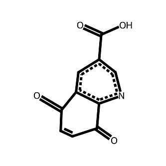 O=C(O)c1cnc2c(c1)C(=O)C=CC2=O